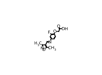 Cc1noc(C)c1C=Nc1ccc(OCC(=O)O)c(F)c1